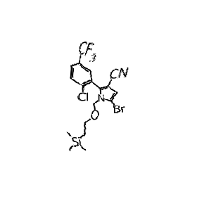 C[Si](C)(C)CCOCn1c(Br)cc(C#N)c1-c1cc(C(F)(F)F)ccc1Cl